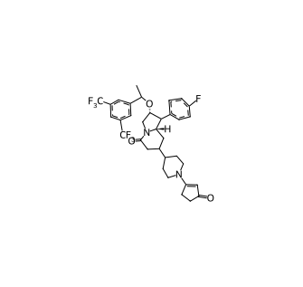 CC(O[C@H]1CN2C(=O)CC(C3CCN(C4=CC(=O)CC4)CC3)C[C@H]2C1c1ccc(F)cc1)c1cc(C(F)(F)F)cc(C(F)(F)F)c1